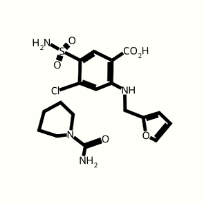 NC(=O)N1CCCCC1.NS(=O)(=O)c1cc(C(=O)O)c(NCc2ccco2)cc1Cl